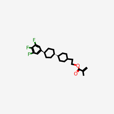 C=C(C)C(=O)OCCC1CCC([C@H]2CC[C@H](c3cc(F)c(F)c(F)c3)CC2)CC1